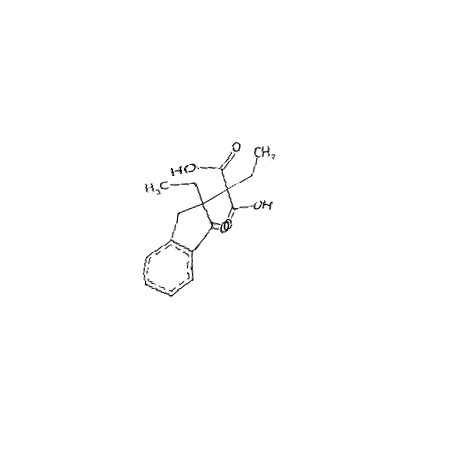 CCC1(C(CC)(C(=O)O)C(=O)O)Cc2ccccc2C1=O